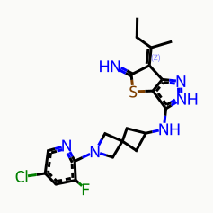 CC/C(C)=C1\C(=N)Sc2c1n[nH]c2NC1CC2(C1)CN(c1ncc(Cl)cc1F)C2